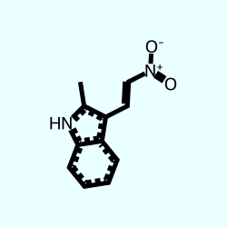 Cc1[nH]c2ccccc2c1C=C[N+](=O)[O-]